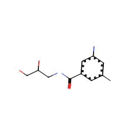 Nc1cc(C(=O)O)cc(C(=O)NCC(O)CO)c1